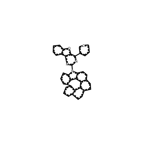 c1ccc(-c2nc(-n3c4cccc5c4c4c6c(ccc7ccc8cccc-5c8c76)ccc43)nc3c2oc2ccccc23)cc1